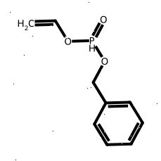 C=CO[PH](=O)OCc1ccccc1